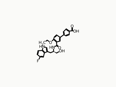 CCOc1ccc(-c2ccc(C(=O)O)cc2)cc1C(=O)N[C@@H](CO)Cc1c[nH]c2ccc(F)cc12